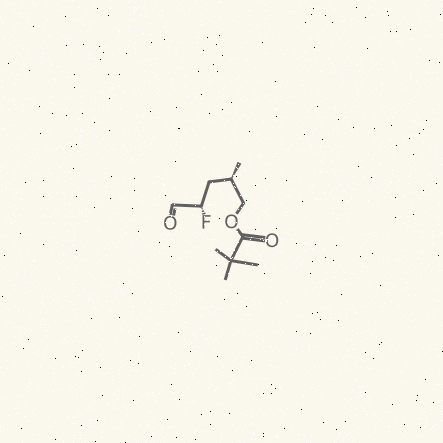 C[C@@H](COC(=O)C(C)(C)C)C[C@H](F)C=O